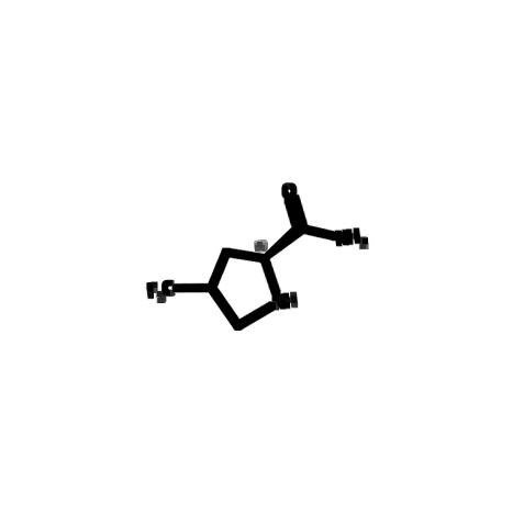 NC(=O)[C@@H]1CC(C(F)(F)F)CN1